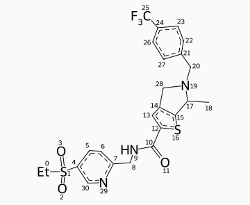 CCS(=O)(=O)c1ccc(CNC(=O)c2cc3c(s2)C(C)N(Cc2ccc(C(F)(F)F)cc2)C3)nc1